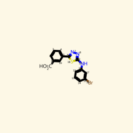 O=C(O)c1cccc(-c2nnc(Nc3cccc(Br)c3)s2)c1